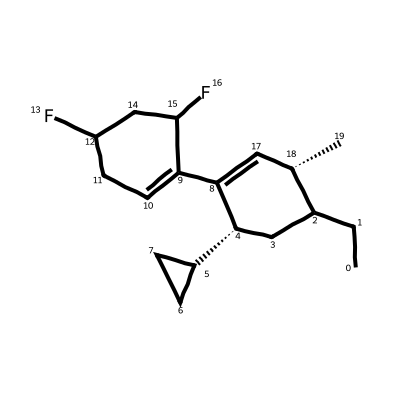 CCC1C[C@H](C2CC2)C(C2=CCC(F)CC2F)=C[C@@H]1C